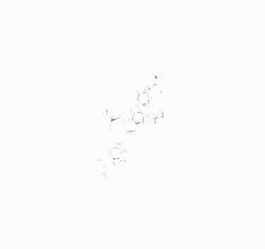 C=C(C)C(=O)Oc1ccc(OC/C=C/c2cc(OC(=O)C(=C)C)c(-c3ccc(OC(=O)C(=C)C)cc3)cc2OC=C(F)F)cc1